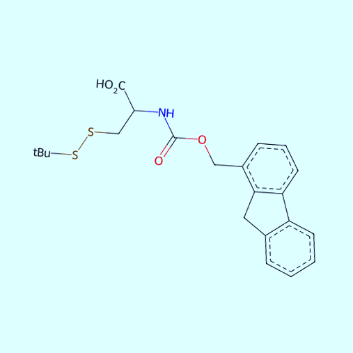 CC(C)(C)SSCC(NC(=O)OCc1cccc2c1Cc1ccccc1-2)C(=O)O